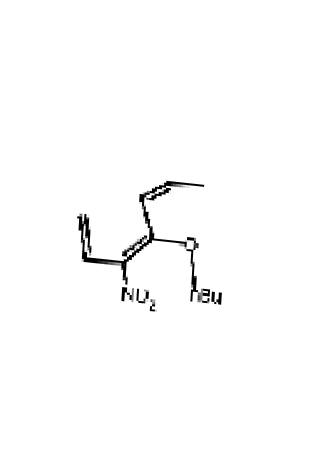 C=C/C(=C(\C=C/C)OCCCC)[N+](=O)[O-]